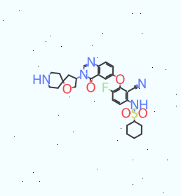 N#Cc1c(NS(=O)(=O)C2CCCCC2)ccc(F)c1Oc1ccc2ncn([C@H]3COC4(CCNCC4)C3)c(=O)c2c1